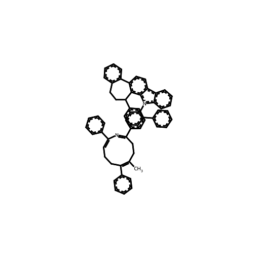 C/C1=C(\c2ccccc2)CC/C=C(c2ccccc2)\N=C(\c2ccc(-n3c4ccccc4c4ccc5c(c43)C(c3cccc(-c4ccccc4)c3)CCc3ccccc3-5)cc2)CC1